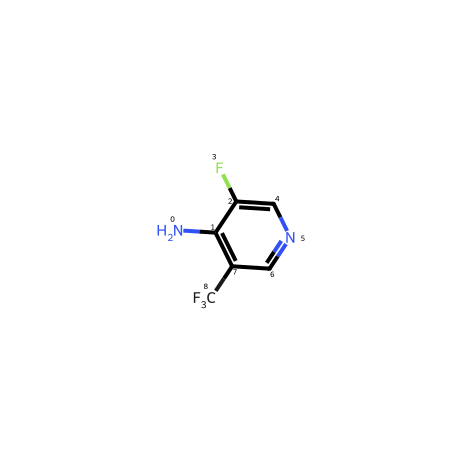 Nc1c(F)cncc1C(F)(F)F